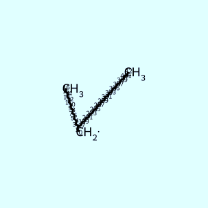 [CH2]CC(CCCCCCCCCCCCCC)CCCCCCCCCCCCCCCCCCCCCCCCCC